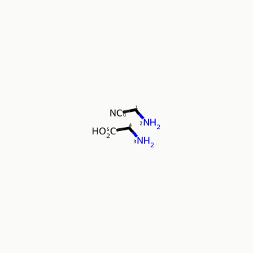 N#CCN.NCC(=O)O